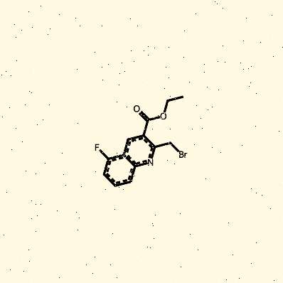 CCOC(=O)c1cc2c(F)cccc2nc1CBr